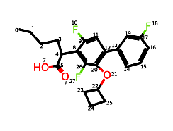 CCCCC(C(=O)O)c1c(F)cc(-c2cccc(F)c2)c(OC2CCC2)c1F